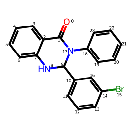 O=C1c2ccccc2NC(c2cccc(Br)c2)N1c1ccccc1